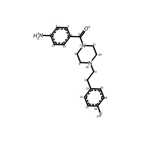 Nc1ccc(C(=O)N2CCN(CCc3ccc(F)cc3)CC2)cc1